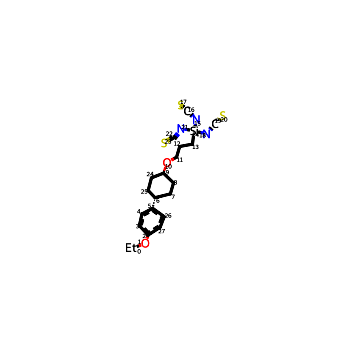 CCOc1ccc([C@H]2CC[C@H](OCCC[Si](N=C=S)(N=C=S)N=C=S)CC2)cc1